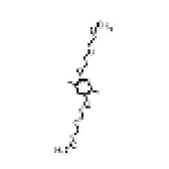 COCCOCCOc1cc(I)c(OCCOCCOC)cc1I